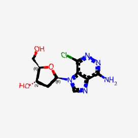 Nc1nnc(Cl)c2c1ncn2[C@H]1C[C@H](O)[C@@H](CO)O1